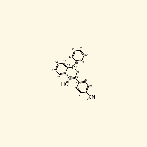 N#Cc1ccc(C(CP(c2ccccc2)c2ccccc2)=NO)cc1